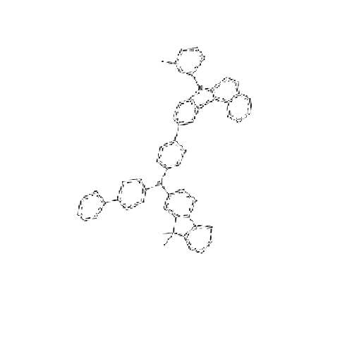 Cc1cccc(-n2c3ccc(-c4ccc(N(c5ccc(-c6ccccc6)cc5)c5ccc6c(c5)C(C)(C)c5ccccc5-6)cc4)cc3c3c4ccccc4ccc32)c1